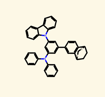 c1ccc(N(c2ccccc2)c2cc(-c3ccc4c(c3)C3CCCC4CC3)cc(-n3c4ccccc4c4ccccc43)c2)cc1